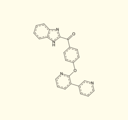 O=C(c1ccc(Oc2ncccc2-c2cccnc2)cc1)c1nc2ccccc2[nH]1